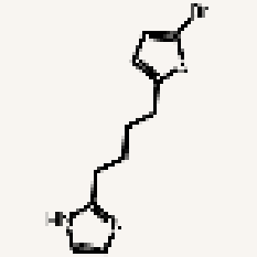 Brc1ccc(CCCCc2ncc[nH]2)s1